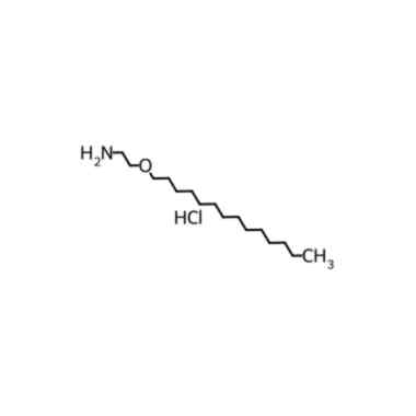 CCCCCCCCCCCCCCOCCN.Cl